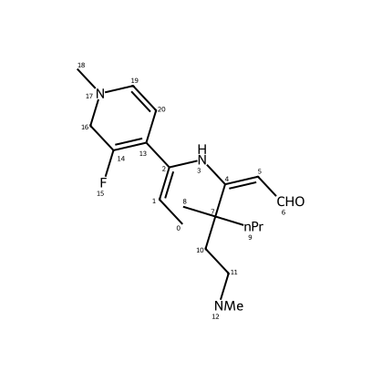 C/C=C(\N/C(=C/C=O)C(C)(CCC)CCNC)C1=C(F)CN(C)C=C1